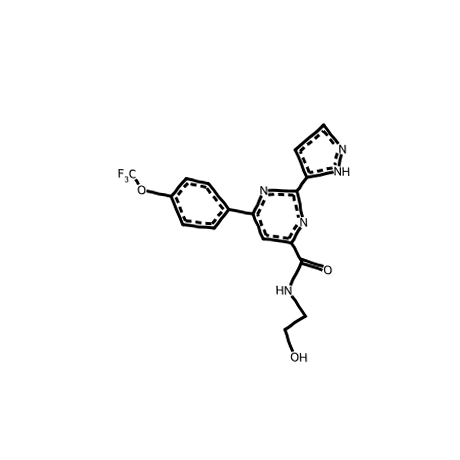 O=C(NCCO)c1cc(-c2ccc(OC(F)(F)F)cc2)nc(-c2ccn[nH]2)n1